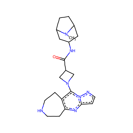 CN1C2CCC1CC(NC(=O)C1CN(c3c4c(nc5ccnn35)CCNCC4)C1)C2